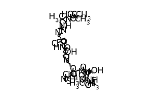 Cc1ncsc1-c1ccc(CNC(=O)[C@@H]2C[C@@H](O)CN2C(=O)[C@@H](NC(=O)C2(F)CC2)C(C)(C)C)c(OCCCN2CCC(O)(CC(=O)Nc3cccc(Sc4cnc(N5CCC(C)(CNC(=O)OC(C)(C)C)CC5)cn4)c3Cl)CC2)c1